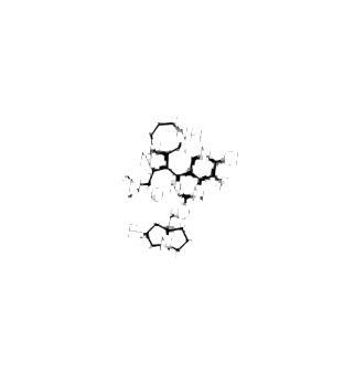 CN(C)C(=O)c1nn2c(c1-c1nc(OC[C@@]34CCCN3C[C@H](F)C4)nc3c(F)c(Cl)ncc13)CNCCC2